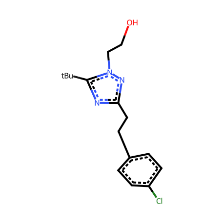 CC(C)(C)c1nc(CCc2ccc(Cl)cc2)nn1CCO